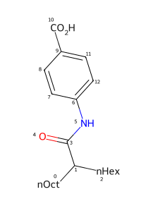 CCCCCCCCC(CCCCCC)C(=O)Nc1ccc(C(=O)O)cc1